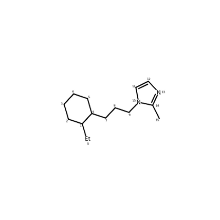 CCC1CCCCC1CCCn1ccnc1C